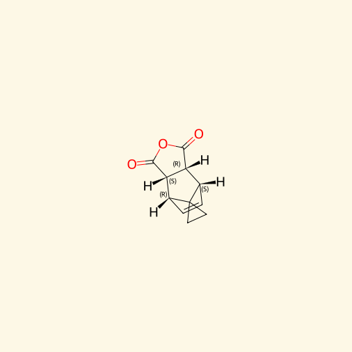 O=C1OC(=O)[C@H]2[C@@H]1[C@H]1C=C[C@@H]2C12CC2